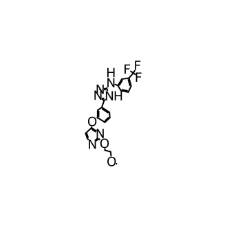 COCCOc1nccc(Oc2cccc(-c3nnc(Nc4cccc(C(F)(F)F)c4)[nH]3)c2)n1